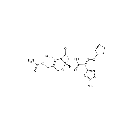 NC(=O)OCC1=C(C(=O)O)N2C(=O)C(NC(=O)C(=NOC3C=CCC3)c3nsc(N)n3)[C@@H]2SC1